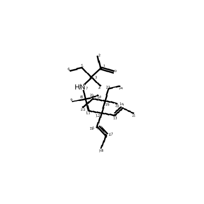 C=C(C)C(C)(CC)NC(C)(C)CC(C=CC)(C=CC)C(C)(CC)CC